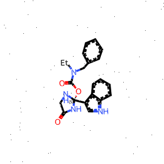 CCN(Cc1ccccc1)C(=O)O[C@@]1(c2c[nH]c3ccccc23)NCC(=O)N1